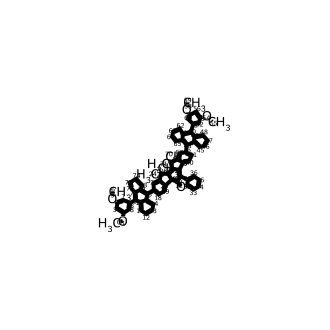 COc1cc(OC)cc(-c2c3ccccc3c(-c3ccc4c(c3)C(C)(C)c3c5c(c6c(oc7ccccc76)c3-4)-c3ccc(-c4c6ccccc6c(-c6cc(OC)cc(OC)c6)c6ccccc46)cc3C5(C)C)c3ccccc23)c1